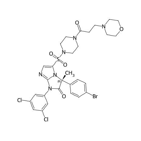 C[C@@]1(c2ccc(Br)cc2)C(=O)N(c2cc(Cl)cc(Cl)c2)c2ncc(S(=O)(=O)N3CCN(C(=O)CCN4CCOCC4)CC3)n21